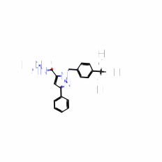 CC(C)(C)c1ccc(Cn2nc(-c3ccccc3)cc2C(=O)NN)cc1